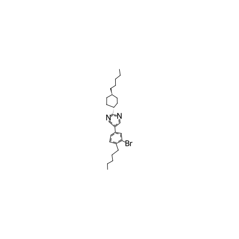 CCCCCc1ccc(-c2cnc([C@H]3CC[C@H](CCCCC)CC3)nc2)cc1Br